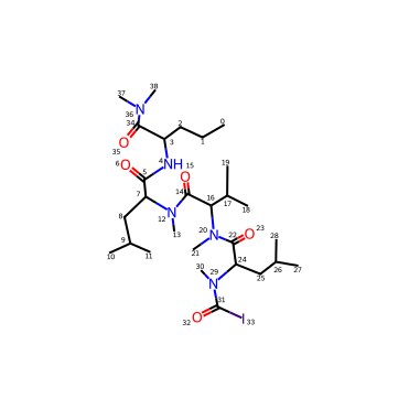 CCCC(NC(=O)C(CC(C)C)N(C)C(=O)C(C(C)C)N(C)C(=O)C(CC(C)C)N(C)C(=O)I)C(=O)N(C)C